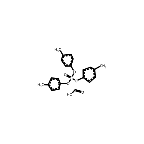 Cc1ccc(OP(=O)(Oc2ccc(C)cc2)Oc2ccc(C)cc2)cc1.O=CO